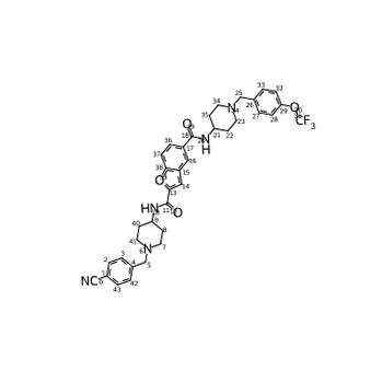 N#Cc1ccc(CN2CCC(NC(=O)c3cc4cc(C(=O)NC5CCN(Cc6ccc(OC(F)(F)F)cc6)CC5)ccc4o3)CC2)cc1